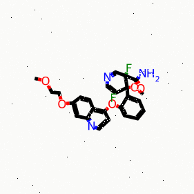 COCCOc1ccc2c(Oc3ccccc3C3(OC)C(F)=CN=CC3(F)C(N)=O)ccnc2c1